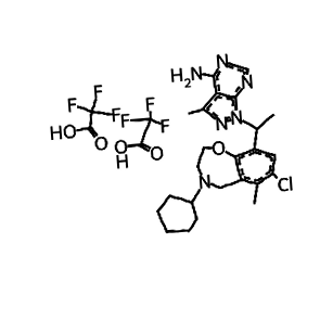 Cc1c(Cl)cc(C(C)n2nc(C)c3c(N)ncnc32)c2c1CN(C1CCCCC1)CCO2.O=C(O)C(F)(F)F.O=C(O)C(F)(F)F